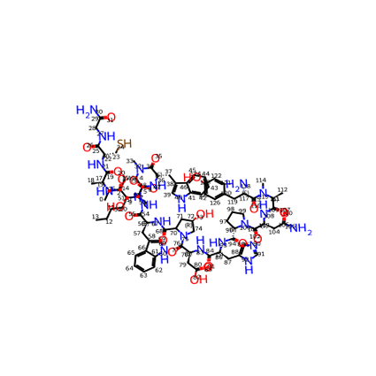 CCCC[C@@H](C(=O)N(C)[C@@H](CCCC)C(=O)N[C@@H](C)C(=O)N[C@@H](CS)C(=O)NCC(N)=O)N(C)C(=O)[C@H](Cc1c[nH]c2ccccc12)NC(=O)[C@H](CO)NC(=O)[C@H](Cc1c[nH]c2ccccc12)NC(=O)C1C[C@@H](O)CN1C(=O)[C@H](CC(=O)O)NC(=O)[C@H](Cc1cnc[nH]1)NC(=O)[C@@H]1CCCN1C(=O)[C@H](CC(N)=O)NC(=O)[C@H](C)N(C)C(=O)[C@@H](N)Cc1ccc(O)cc1